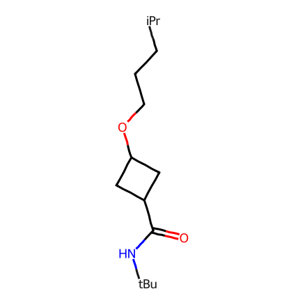 CC(C)CCCOC1CC(C(=O)NC(C)(C)C)C1